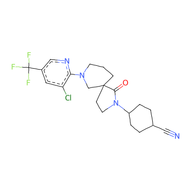 N#CC1CCC(N2CCC3(CCCN(c4ncc(C(F)(F)F)cc4Cl)C3)C2=O)CC1